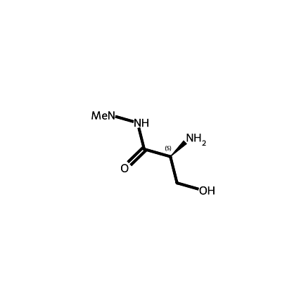 CNNC(=O)[C@@H](N)CO